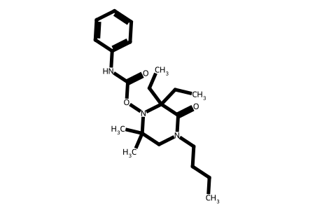 CCCCN1CC(C)(C)N(OC(=O)Nc2ccccc2)C(CC)(CC)C1=O